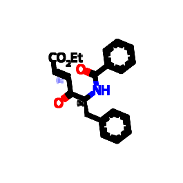 CCOC(=O)/C=C/C(=O)[C@H](Cc1ccccc1)NC(=O)c1ccccc1